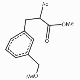 COCc1cccc(CC(C(C)=O)C(=O)OC)c1